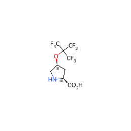 O=C(O)[C@@H]1C[C@H](OC(C(F)(F)F)(C(F)(F)F)C(F)(F)F)CN1